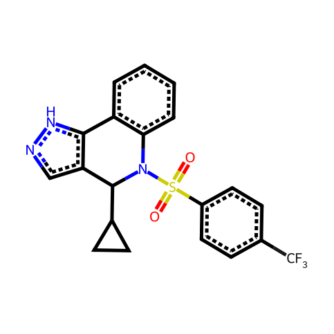 O=S(=O)(c1ccc(C(F)(F)F)cc1)N1c2ccccc2-c2[nH]ncc2C1C1CC1